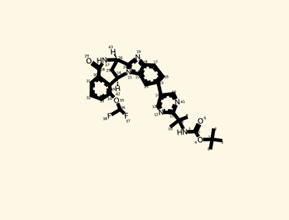 CC(C)(C)OC(=O)NC(C)(C)c1ncc(-c2ccc3nc4n(c3c2)[C@@H]2C[C@H]4NC(=O)c3cccc(OC(F)F)c32)cn1